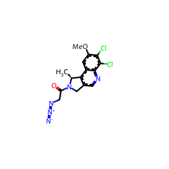 COc1cc2c3c(cnc2c(Cl)c1Cl)CN(C(=O)CN=[N+]=[N-])[C@H]3C